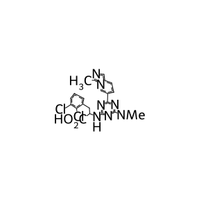 CNc1nc(NC(Cc2cccc(Cl)c2Cl)C(=O)O)nc(-c2ccc3cnc(C)n3c2)n1